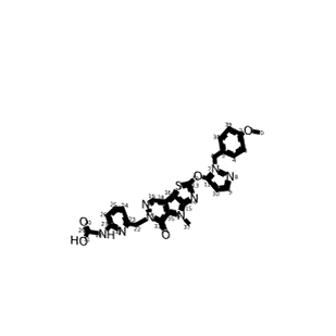 COc1ccc(Cn2nccc2Oc2nc3c(s2)c2cnn(Cc4cccc(NC(=O)O)n4)c(=O)c2n3C)cc1